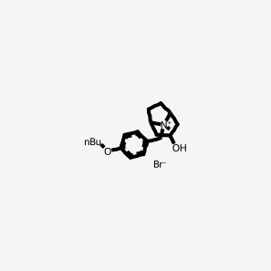 CCCCOc1ccc(C[N+]2(C)C3CCC2CC(O)C3)cc1.[Br-]